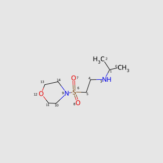 CC(C)NCCS(=O)(=O)N1CCOCC1